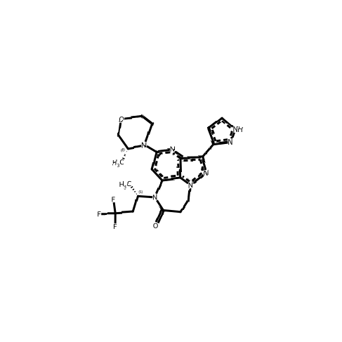 C[C@@H]1COCCN1c1cc2c3c(n1)c(-c1cc[nH]n1)nn3CCC(=O)N2[C@@H](C)CC(F)(F)F